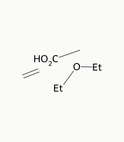 C=C.CC(=O)O.CCOCC